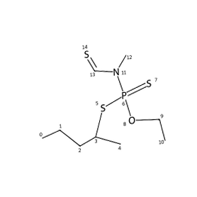 CCCC(C)SP(=S)(OCC)N(C)C=S